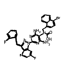 Nc1nc(-n2nc(Cc3ccccc3F)c3ncc(F)cc32)nc(N)c1N(Cc1ccc(Br)c2ccccc12)C(=O)O